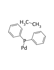 CC.[Pd][P](c1ccccc1)c1ccccc1